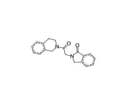 O=C(CN1Cc2ccccc2C1=O)N1CCc2ccccc2C1